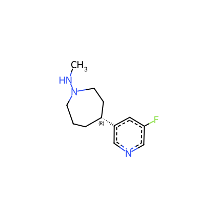 CNN1CCC[C@@H](c2cncc(F)c2)CC1